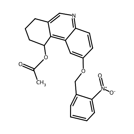 CC(=O)OC1CCCc2cnc3ccc(OCc4ccccc4[N+](=O)[O-])cc3c21